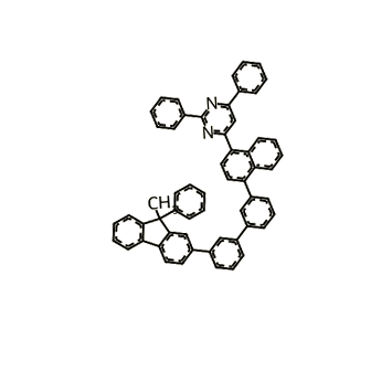 CC1(c2ccccc2)c2ccccc2-c2ccc(-c3cccc(-c4cccc(-c5ccc(-c6cc(-c7ccccc7)nc(-c7ccccc7)n6)c6ccccc56)c4)c3)cc21